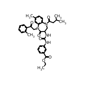 CCOC(=O)c1cccc(NC(=O)NC2CN(C(=O)CC(C)C)c3ccc(C)cc3N(CC(=O)c3ccccc3C)C2=O)c1